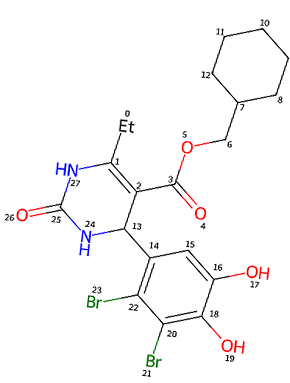 CCC1=C(C(=O)OCC2CCCCC2)C(c2cc(O)c(O)c(Br)c2Br)NC(=O)N1